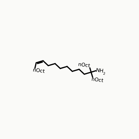 CCCCCCCC/C=C\CCCCCCCC(N)(CCCCCCCC)CCCCCCCC